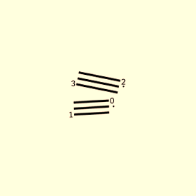 [C]#C.[C]#C